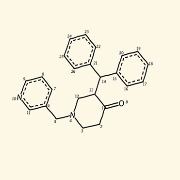 O=C1CCN(Cc2cccnc2)CC1C(c1ccccc1)c1ccccc1